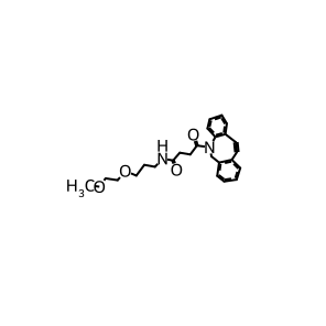 COCCOCCCNC(=O)CCC(=O)N1Cc2ccccc2C#Cc2ccccc21